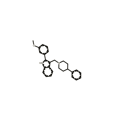 COc1cccc(-c2[nH]c3ccccc3c2CN2CCC(c3ccccc3)CC2)c1